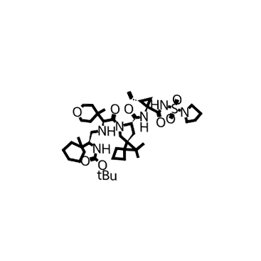 C=C[C@@H]1C[C@]1(NC(=O)[C@@H]1C[C@@]2(CN1C(=O)[C@@H](NC[C@@H](NC(=O)OC(C)(C)C)C1(C)CCCCC1)C1(C)CCOCC1)C(C)(C)C21CCC1)C(=O)NS(=O)(=O)N1CCCC1